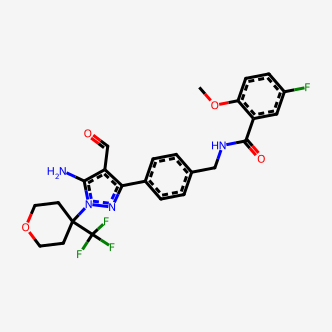 COc1ccc(F)cc1C(=O)NCc1ccc(-c2nn(C3(C(F)(F)F)CCOCC3)c(N)c2C=O)cc1